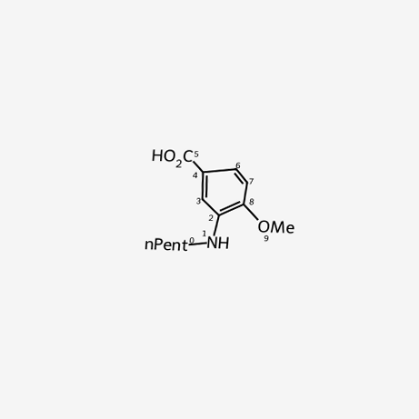 CCCCCNc1cc(C(=O)O)ccc1OC